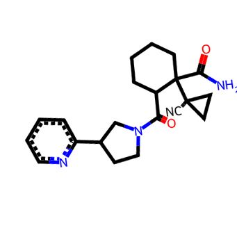 N#CC1(C2(C(N)=O)CCCCC2C(=O)N2CCC(c3ccccn3)C2)CC1